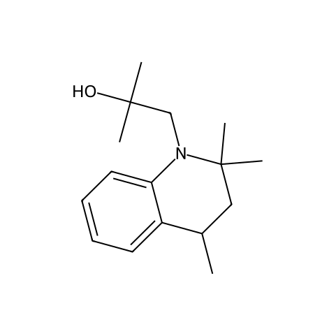 CC1CC(C)(C)N(CC(C)(C)O)c2ccccc21